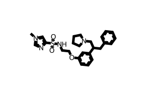 Cn1cnc(S(=O)(=O)NCCOc2cccc(C(Cc3ccccc3)CN3CCCC3)c2)c1